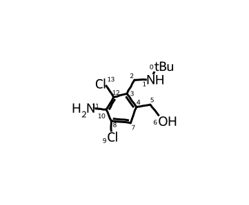 CC(C)(C)NCc1c(CO)cc(Cl)c(N)c1Cl